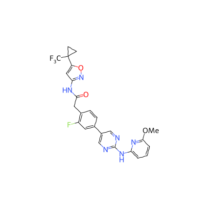 COc1cccc(Nc2ncc(-c3ccc(CC(=O)Nc4cc(C5(C(F)(F)F)CC5)on4)c(F)c3)cn2)n1